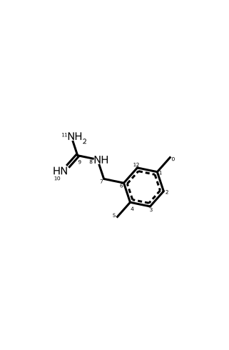 Cc1ccc(C)c(CNC(=N)N)c1